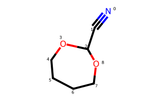 N#CC1OCCCCO1